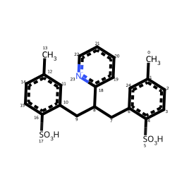 Cc1ccc(S(=O)(=O)O)c(CC(Cc2cc(C)ccc2S(=O)(=O)O)c2ccccn2)c1